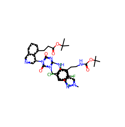 Cn1cc2c(CCNC(=O)OC(C)(C)C)c(Nc3nc(=O)n(-c4cncc5cccc(CCC(=O)OC(C)(C)C)c45)c(=O)n3Cc3cc(F)c(F)cc3F)c(Cl)cc2n1